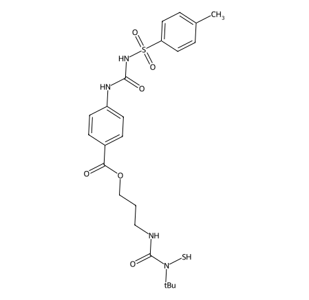 Cc1ccc(S(=O)(=O)NC(=O)Nc2ccc(C(=O)OCCCNC(=O)N(S)C(C)(C)C)cc2)cc1